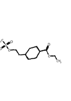 CCOC(=O)C1CCC(CCOS(C)(=O)=O)CC1